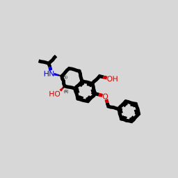 CC(C)N[C@H]1CCc2c(ccc(OCc3ccccc3)c2CO)[C@H]1O